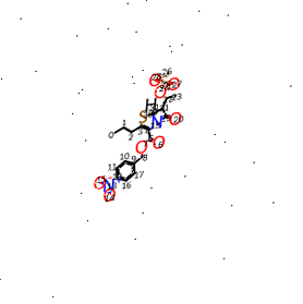 CCCC1=C(C(=O)OCc2ccc([N+](=O)[O-])cc2)N2C(=O)C(C(C)OS(C)(=O)=O)[C@H]2S1